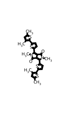 Cc1cc(C)c(-c2ccc(C3=C4C(=O)N(C)C(c5ccc(-c6sc(C)cc6C)s5)=C4C(=O)N3C)s2)s1